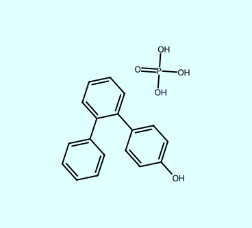 O=P(O)(O)O.Oc1ccc(-c2ccccc2-c2ccccc2)cc1